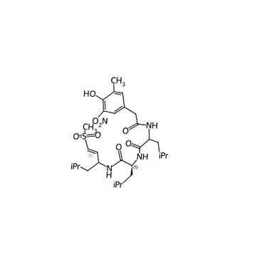 Cc1cc(CC(=O)NC(CC(C)C)C(=O)N[C@@H](CC(C)C)C(=O)NC(/C=C/S(C)(=O)=O)CC(C)C)cc([N+](=O)[O-])c1O